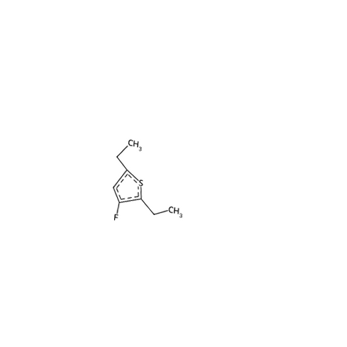 CCc1cc(F)c(CC)s1